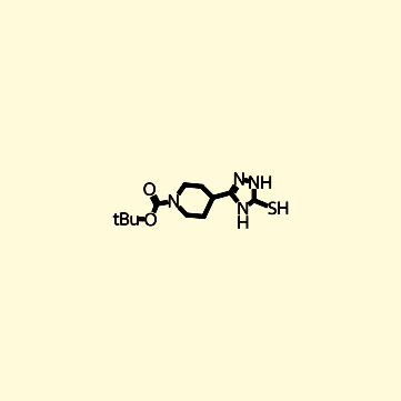 CC(C)(C)OC(=O)N1CCC(C2=NNC(S)N2)CC1